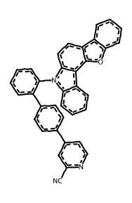 N#Cc1cc(-c2ccc(-c3ccccc3-n3c4ccccc4c4c5oc6ccccc6c5ccc43)cc2)ccn1